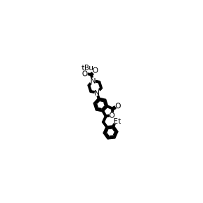 CCc1ccccc1CC1OC(=O)c2cc(N3CCN(C(=O)OC(C)(C)C)CC3)ccc21